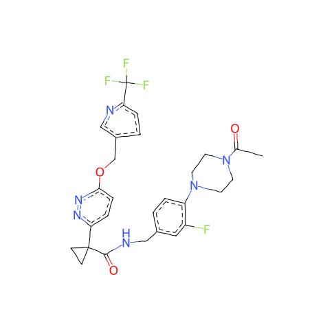 CC(=O)N1CCN(c2ccc(CNC(=O)C3(c4ccc(OCc5ccc(C(F)(F)F)nc5)nn4)CC3)cc2F)CC1